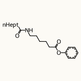 CCCCCCCC(=O)NCCCCCC(=O)Oc1ccccc1